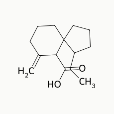 C=C1CCCC2(CCCC2CC)C1C(=O)O